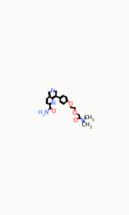 CN(C)C(=O)COCCOc1ccc(-c2cncc3ccc(C(N)=O)nc23)cc1